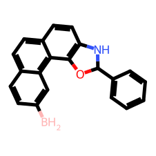 Bc1ccc2ccc3ccc4c(c3c2c1)OC(c1ccccc1)N4